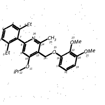 CCc1cccc(CC)c1-c1cc(OC(C)C)c(COc2cccc(OC)c2OC)c(C)n1